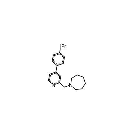 CC(C)c1ccc(-c2ccnc(CN3CCCCCC3)c2)cc1